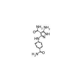 NC(=O)c1ccc(Nc2n[nH]c(N)c2C(N)=O)cc1